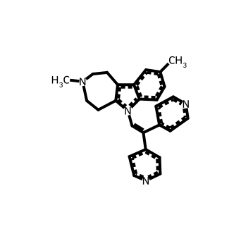 Cc1ccc2c(c1)c1c(n2C=C(c2ccncc2)c2ccncc2)CCN(C)CC1